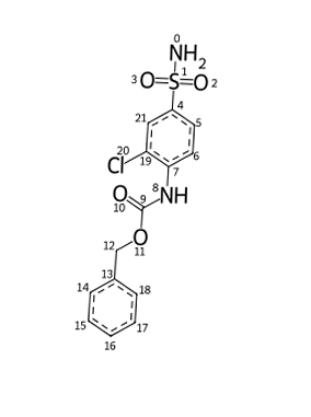 NS(=O)(=O)c1ccc(NC(=O)OCc2ccccc2)c(Cl)c1